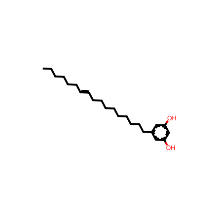 CCCCCCC=CCCCCCCCCCc1cc(O)cc(O)c1